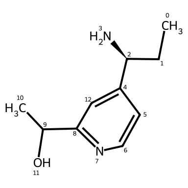 CC[C@H](N)c1ccnc(C(C)O)c1